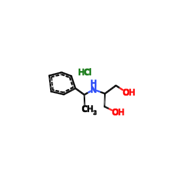 CC(NC(CO)CO)c1ccccc1.Cl